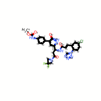 COC(=O)Nc1ccc(-c2cc(C(CC(=O)N3CC(F)(F)C3)NC(=O)C=Cc3cc(Cl)ccc3-n3cnnn3)n[nH]c2=O)cc1